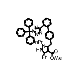 CCCN1NC(CC)C(C(=O)OC)=C1Cc1ccc(-c2ccccc2-c2nnn(C(c3ccccc3)(c3ccccc3)c3ccccc3)n2)cc1